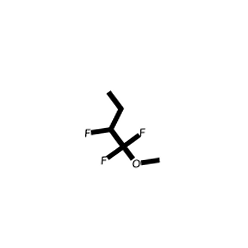 CCC(F)C(F)(F)OC